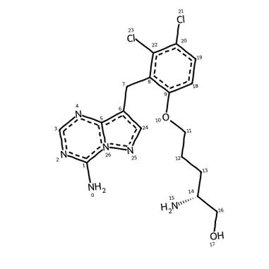 Nc1ncnc2c(Cc3c(OCCC[C@@H](N)CO)ccc(Cl)c3Cl)cnn12